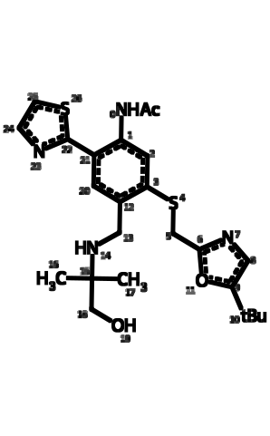 CC(=O)Nc1cc(SCc2ncc(C(C)(C)C)o2)c(CNC(C)(C)CO)cc1-c1nccs1